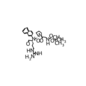 CC(C)(C)OC(=O)NCC(=O)N1CCC[C@H]1C(=O)N(c1ccc2ccccc2c1)[C@H](C=O)CCCNC(=N)N